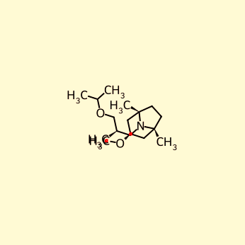 CO[C@H]1C[C@]2(C)CC[C@](C)(C1)N2C[C@@H](C)COC(C)C